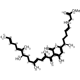 B=C1OC([C@H](C)CC/C=C/NCC(=O)OC)=CC(O)=C1C(=O)/C(C)=C/C=C(\C)CC[C@@H](O)/C(C)=C/C/C=C/C